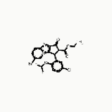 CCOC(=O)C1C(=O)c2nc3ccc(Br)cn3c2C1c1cc(Cl)ccc1OC(F)F